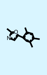 Cc1ncc(-c2cc(C)c(C)cc2C)o1